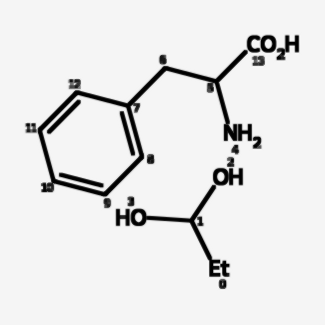 CCC(O)O.NC(Cc1ccccc1)C(=O)O